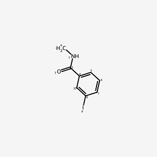 [CH2]NC(=O)c1cccc(I)c1